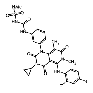 CNS(=O)(=O)NC(=O)Nc1cccc(-n2c(=O)n(C3CC3)c(=O)c3c(Nc4ccc(I)cc4F)n(C)c(=O)c(C)c32)c1